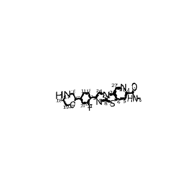 CNC(=O)c1cc2sc3nc(-c4ccc(C5CNCCO5)cc4F)cn3c2cn1